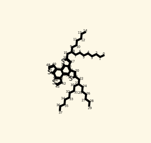 CCCCCCCCC(CCCCCC)Cc1cc2c3cc(CC(CCCCCC)CCCCCCCC)sc3c3c4ccsc4c4sccc4c3c2s1